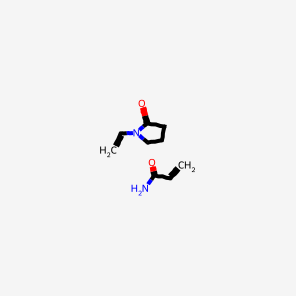 C=CC(N)=O.C=CN1CCCC1=O